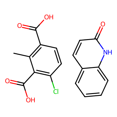 Cc1c(C(=O)O)ccc(Cl)c1C(=O)O.O=c1ccc2ccccc2[nH]1